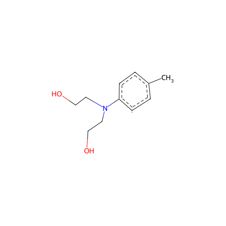 Cc1c[c]c(N(CCO)CCO)cc1